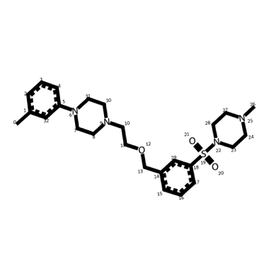 Cc1cccc(N2CCN(CCOCc3cccc(S(=O)(=O)N4CCN(C)CC4)c3)CC2)c1